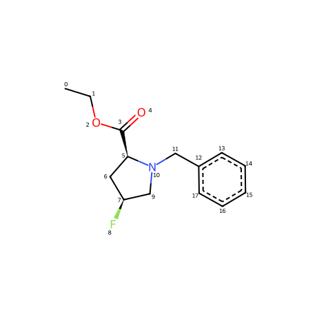 CCOC(=O)[C@@H]1C[C@H](F)CN1Cc1ccccc1